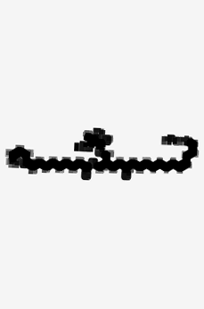 CCCCC/C=C\C/C=C\CCCCCCCC(=O)CCC(COC(=O)CCCCCCC/C=C\C/C=C\CCCCC)COC(=O)C(C)(CC)CCCC